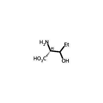 CCC(O)[C@@H](N)C(=O)O